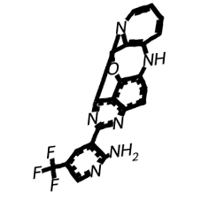 Nc1ncc(C(F)(F)F)cc1-c1nc2c3c4c(ccc3n1)NC1=C(CO4)N2C=CC=C1